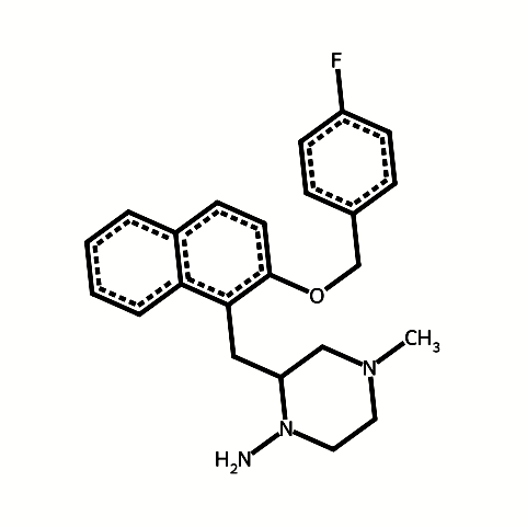 CN1CCN(N)C(Cc2c(OCc3ccc(F)cc3)ccc3ccccc23)C1